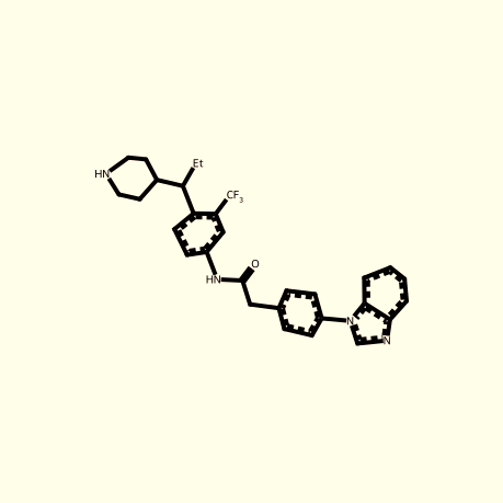 CCC(c1ccc(NC(=O)Cc2ccc(-n3cnc4ccccc43)cc2)cc1C(F)(F)F)C1CCNCC1